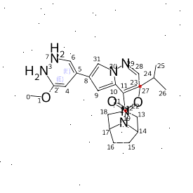 CO/C(N)=C/C(=C\N)c1cc2c(N3CC4CCC(C3)N4C(=O)OCC(C)C)ccnn2c1